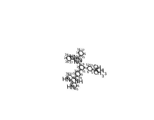 CC(C)(C)c1ccc(-c2cc(C3=NC(c4ccccc4)NC(c4ccccc4)=N3)cc(-c3ccc(C4=C5C=CCNC5=C5CNC=CC5N4)cc3)c2)cc1